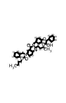 CCCCOC(=O)N(Cc1ccccc1)c1ccc2nc(CCCC)n(Cc3ccc(OC(C(=O)O)c4ccccc4)cc3)c(=O)c2c1